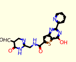 O=CC1CN=C(CNC(=O)c2cc3nc(-c4ccccn4)nc(O)c3s2)NC1=O